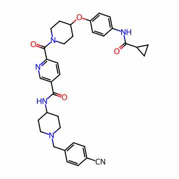 N#Cc1ccc(CN2CCC(NC(=O)c3ccc(C(=O)N4CCC(Oc5ccc(NC(=O)C6CC6)cc5)CC4)nc3)CC2)cc1